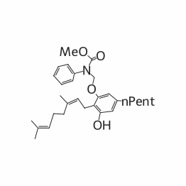 CCCCCc1cc(O)c(CC=C(C)CCC=C(C)C)c(OCN(C(=O)OC)c2ccccc2)c1